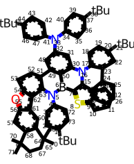 CC(C)(C)c1ccc(N2B3c4sc5ccccc5c4N(c4ccc(C(C)(C)C)cc4-c4ccccc4)c4cc(N(c5ccc(C(C)(C)C)cc5)c5ccc(C(C)(C)C)cc5)cc(c43)-c3ccc4oc5cc6c(cc5c4c32)C(C)(C)CCC6(C)C)cc1